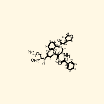 O=C[C@H](CC(=O)O)NC(=O)CN1C(=O)[C@@H](NC(=O)c2ccccc2)CN(C(=O)OC2CCOC2)c2ccccc21